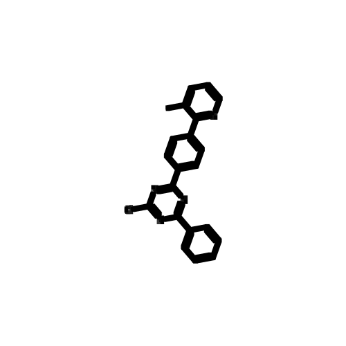 Cc1cccnc1-c1ccc(-c2nc(Cl)nc(-c3ccccc3)n2)cc1